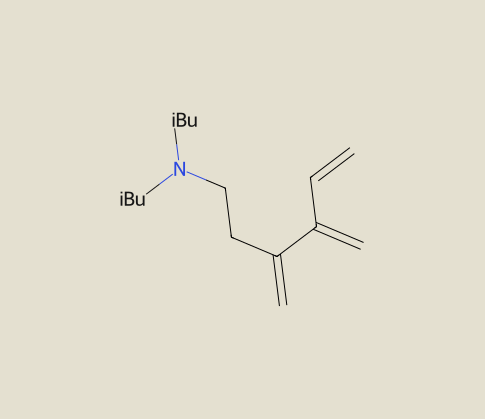 C=CC(=C)C(=C)CCN(C(C)CC)C(C)CC